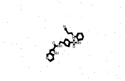 N#CCCOc1ccccc1NS(=O)(=O)c1ccc(CNC(=O)c2cc3cnccc3[nH]2)cc1